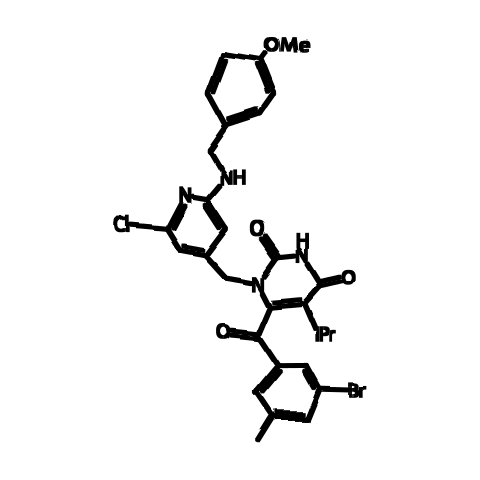 COc1ccc(CNc2cc(Cn3c(C(=O)c4cc(C)cc(Br)c4)c(C(C)C)c(=O)[nH]c3=O)cc(Cl)n2)cc1